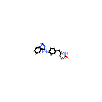 O=C1NC(Cc2ccc(Nc3ncnc4ccccc34)cc2)CO1